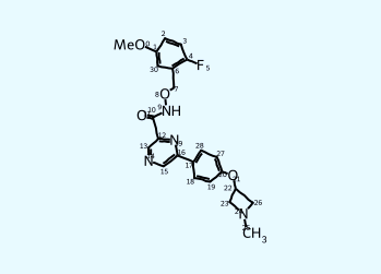 COc1ccc(F)c(CONC(=O)c2cncc(-c3ccc(OC4CN(C)C4)cc3)n2)c1